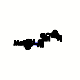 CO[C@H](C(C)OC(C)(C)C[C@H](C)/C=C/C=C(\C)[C@H]1O[C@@H](CNC(=O)[C@H]2CC[C@H](COC(=O)N3CCN(I)CC3)CC2)CC[C@@H]1C)[C@@H](C)O